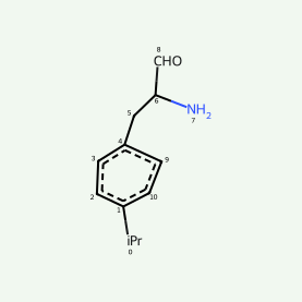 CC(C)c1ccc(CC(N)C=O)cc1